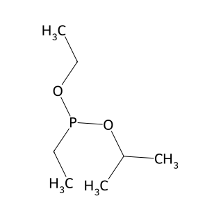 CCOP(CC)OC(C)C